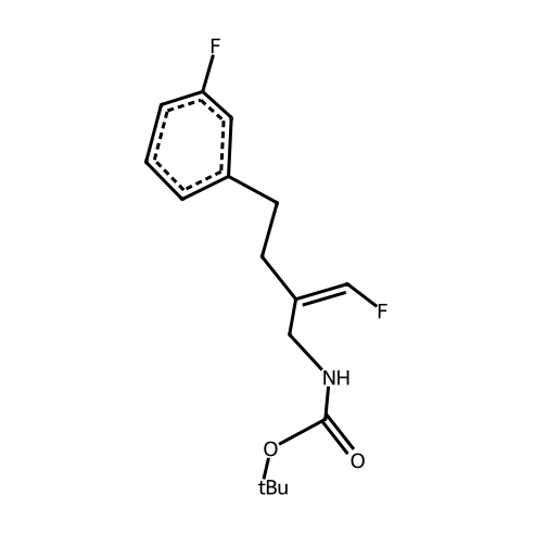 CC(C)(C)OC(=O)NCC(=CF)CCc1cccc(F)c1